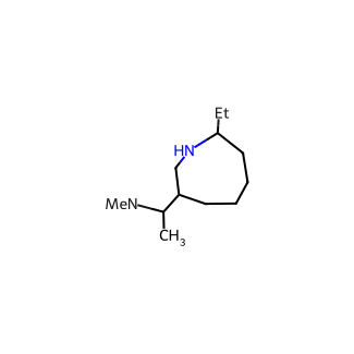 CCC1CCCCC(C(C)NC)CN1